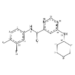 Cc1ccc(NC(=O)c2cc(NC3CCCCC3)ncn2)cc1F